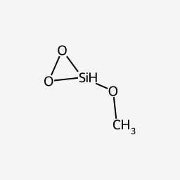 CO[SiH]1OO1